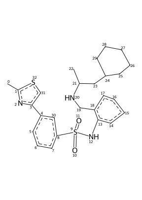 Cc1nc(-c2cccc(S(=O)(=O)Nc3ccccc3CNC(C)CC3CCCCC3)c2)cs1